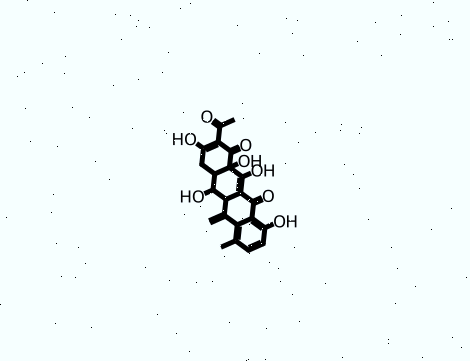 C=C1c2c(C)ccc(O)c2C(=O)C2=C(O)C3(O)C(=O)C(C(C)=O)=C(O)CC3C(O)C12